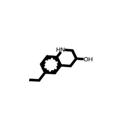 CCc1ccc2c(c1)CC(O)CN2